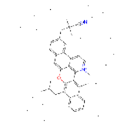 Cc1c2c(c(CC(C)C)c3ccccc13)Oc1cc3ccc(CC(C)(C)C#N)cc3c3cc[n+](C)c-2c13